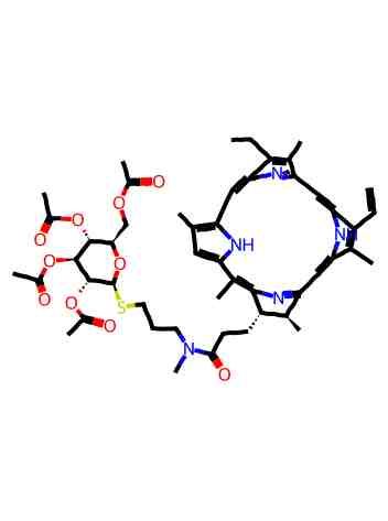 C=Cc1c(C)c2cc3nc(c(C)c4cc(C)c(cc5nc(cc1[nH]2)C(C)=C5CC)[nH]4)[C@@H](CCC(=O)N(C)CCCS[C@@H]1O[C@H](COC(C)=O)[C@@H](OC(C)=O)[C@H](OC(C)=O)[C@H]1OC(C)=O)[C@@H]3C